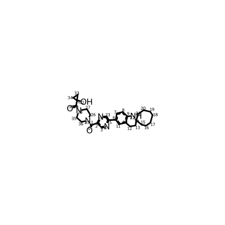 O=C(c1cnc(-c2ccc3c(c2)CCC2(CCCCCCC2)N3)cn1)N1CCN(C(=O)C2(O)CC2)CC1